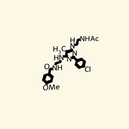 COc1ccc(C(=O)NCCNc2nc(-c3ccc(Cl)cc3)nc(NCCNC(C)=O)c2C)cc1